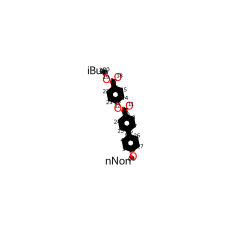 CCCCCCCCCOc1ccc(-c2ccc(C(=O)Oc3ccc(C(=O)OCC(C)CC)cc3)cc2)cc1